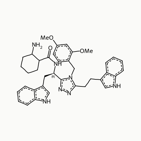 COc1ccc(Cn2c(CCc3c[nH]c4ccccc34)nnc2[C@@H](Cc2c[nH]c3ccccc23)NC(=O)C2CCCCC2N)c(OC)c1